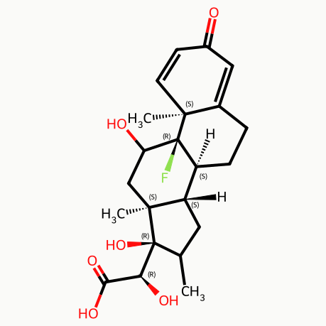 CC1C[C@H]2[C@@H]3CCC4=CC(=O)C=C[C@]4(C)[C@@]3(F)C(O)C[C@]2(C)[C@@]1(O)[C@@H](O)C(=O)O